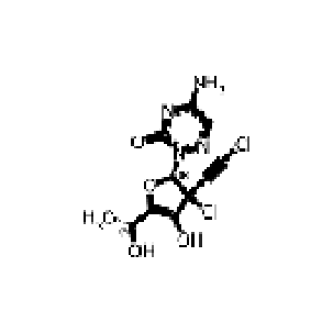 C[C@@H](O)C1=C(O)C(Cl)(C#CCl)[C@H](n2ncc(N)nc2=O)O1